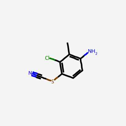 Cc1c(N)ccc(SC#N)c1Cl